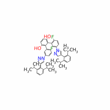 CC(C)c1cccc(C(C)C)c1-c1cnn(-c2ccc(F)c(-c3c(O)ccc(O)c3-c3cc(-n4cc(-c5c(C(C)C)cccc5C(C)C)cn4)ccc3F)c2)c1